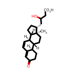 C[C@]12CC[C@H]3[C@@H](C=CC4=CC(=O)CC[C@@H]43)[C@@H]1CC[C@@H]2CC(O)CC(=O)O